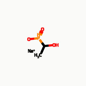 CC(O)[PH](=O)[O-].[Na+]